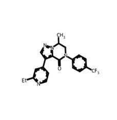 CCc1cc(-c2cnn3c2C(=O)N(c2ccc(C(F)(F)F)cc2)CC3C)ccn1